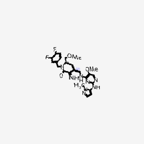 COC[C@H]1C/C(=C/Nc2nc(Nc3ccnn3C)ncc2OC)C(=N)C(=O)N1Cc1ccc(F)c(F)c1